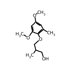 COc1cc(C)c(OCC(C)CO)c(OC)c1